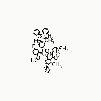 COc1ccc(F)cc1[C@H](Cn1c(=O)n([C@@H]2CCN(C)C2=O)c(=O)c2c(C)c(-n3cccn3)sc21)O[C@H]1CC[C@@H](O[Si](c2ccccc2)(c2ccccc2)C(C)(C)C)CC1